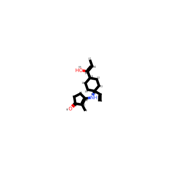 C=CC1(NC2=C(C)C(=O)CC2)CCC(C(O)=CC)CC1